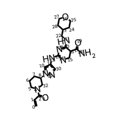 C=CC(=O)N1CCC[C@@H](n2cc(NC3=NCC(C(N)=O)C(NCC4CCOCC4)=N3)cn2)C1